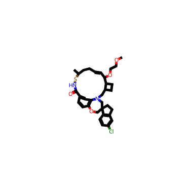 COCCOC1/C=C/CCC(C)SNC(=O)c2ccc3c(c2)N(CC2CCC21)CC1(CCc2cc(Cl)ccc21)CO3